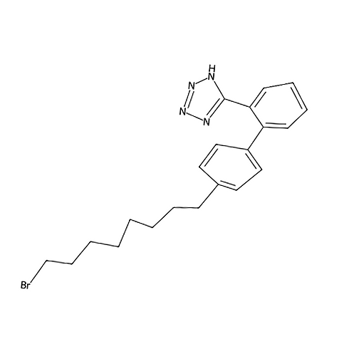 BrCCCCCCCCc1ccc(-c2ccccc2-c2nnn[nH]2)cc1